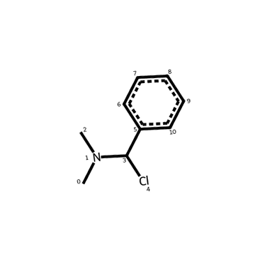 CN(C)C(Cl)c1ccccc1